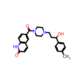 Cc1ccc(C(O)CCN2CCN(C(=O)c3ccc4[nH]c(=O)ccc4c3)CC2)cc1